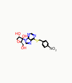 O=[N+]([O-])c1ccc(CSc2ncnc3c2ncn3[C@@]2(O)[C@@H](O)CO[C@@H]2CO)cc1